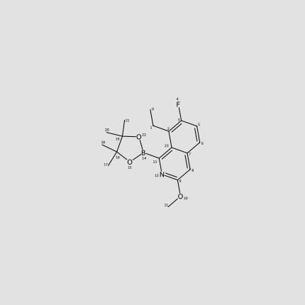 CCc1c(F)ccc2cc(OC)nc(B3OC(C)(C)C(C)(C)O3)c12